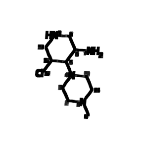 CN1CCN(C2C(N)CNCC2Cl)CC1